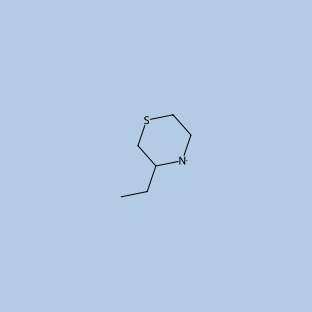 CCC1CSCC[N]1